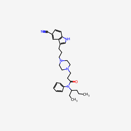 CCCC(CC)N(C(=O)CCN1CCN(CCCc2c[nH]c3ccc(C#N)cc23)CC1)c1ccccc1